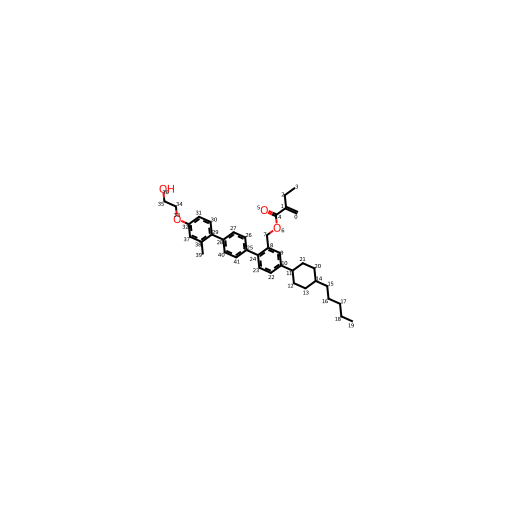 C=C(CC)C(=O)OCc1cc(C2CCC(CCCCC)CC2)ccc1-c1ccc(-c2ccc(OCCO)cc2C)cc1